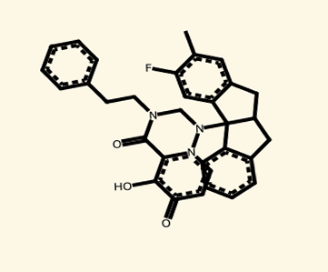 Cc1cc2c(cc1F)C1(N3CN(CCc4ccccc4)C(=O)c4c(O)c(=O)ccn43)c3ccccc3CC1C2